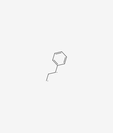 [CH2]C[CH]c1ccccc1